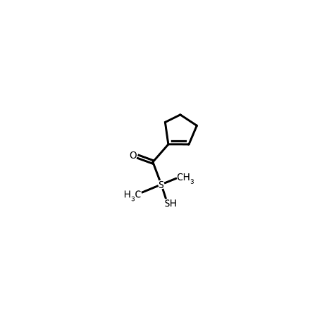 CS(C)(S)C(=O)C1=CCCC1